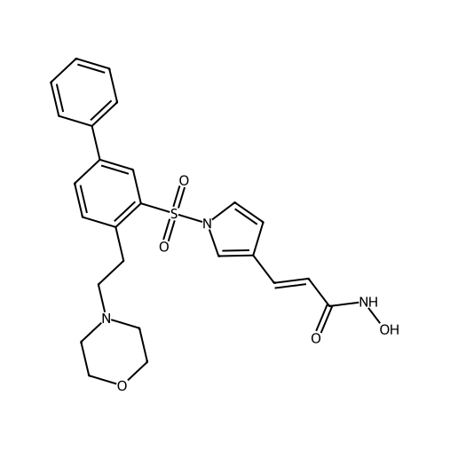 O=C(/C=C/c1ccn(S(=O)(=O)c2cc(-c3ccccc3)ccc2CCN2CCOCC2)c1)NO